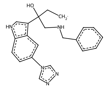 [CH2]CC(O)(CNCc1ccccc1)c1c[nH]c2ccc(-n3cnnc3)cc12